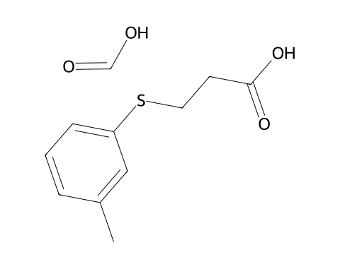 Cc1cccc(SCCC(=O)O)c1.O=CO